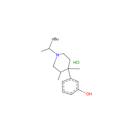 CCCCC(C)N1CCC(C)(c2cccc(O)c2)C(C)C1.Cl